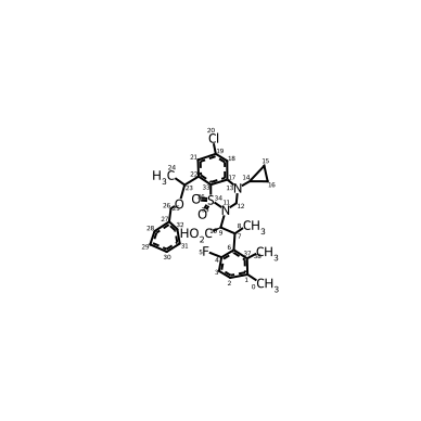 Cc1ccc(F)c(C(C)[C@@H](C(=O)O)N2CN(C3CC3)c3cc(Cl)cc(C(C)OCc4ccccc4)c3S2(=O)=O)c1C